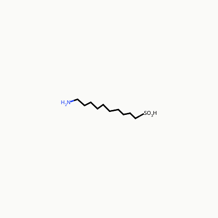 NCCCCCCCCCCS(=O)(=O)O